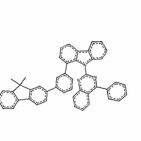 CC1(C)c2ccccc2-c2ccc(-c3cccc(-c4cccc5c6ccccc6n(-c6nc(-c7ccccc7)c7ccccc7n6)c45)c3)cc21